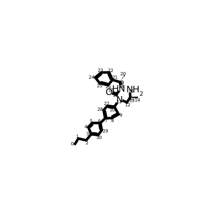 CCCc1ccc(-c2ccc(N(C[C@H](C)N)C(=O)N[C@@H](C)c3ccccc3)cc2)cc1